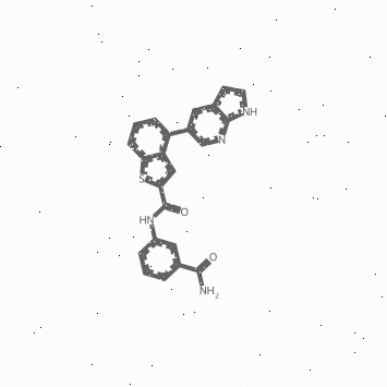 NC(=O)c1cccc(NC(=O)c2cc3c(-c4cnc5[nH]ccc5c4)cccc3s2)c1